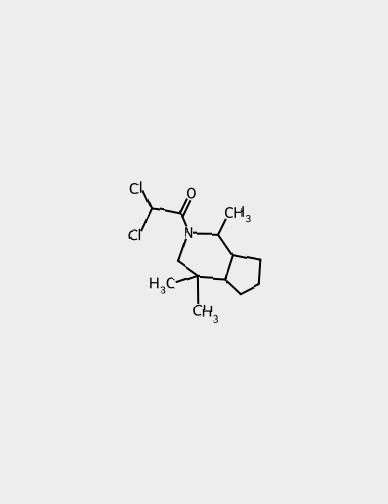 CC1C2CCCC2C(C)(C)CN1C(=O)C(Cl)Cl